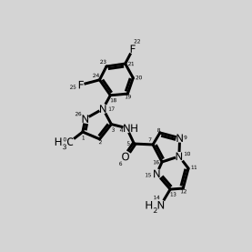 Cc1cc(NC(=O)c2cnn3ccc(N)nc23)n(-c2ccc(F)cc2F)n1